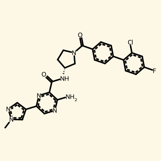 Cn1cc(-c2cnc(N)c(C(=O)N[C@@H]3CCN(C(=O)c4ccc(-c5ccc(F)cc5Cl)cc4)C3)n2)cn1